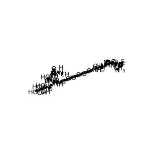 CNCCN1C(=O)CC(SC[C@@H](NC(=O)[C@@H](CCC(=O)NC[C@H](O)[C@@H](O)[C@H](O)[C@H](O)CO)NC(=O)CCOCCOCCOCCOCCOCCOCCNC(=O)CCC(=O)NCc2cc(C(=O)N[C@H](C)C(=O)N3CC(F)(F)C[C@H]3C#N)ccn2)C(=O)O)C1=O